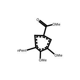 CCCCCc1cc(C(=O)OC)cc(OC)c1OC